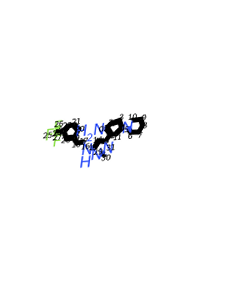 Nc1ccc(N2CCCCC2)cc1-c1cc(NCCc2cccc(C(F)(F)F)c2)ncn1